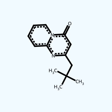 CC(C)(C)Cc1cc(=O)n2ccccc2n1